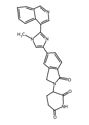 Cn1cc(-c2ccc3c(c2)CN(C2CCC(=O)NC2=O)C3=O)nc1-c1cncc2ccccc12